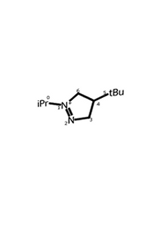 CC(C)[N+]1=NCC(C(C)(C)C)C1